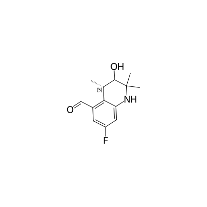 C[C@H]1c2c(C=O)cc(F)cc2NC(C)(C)C1O